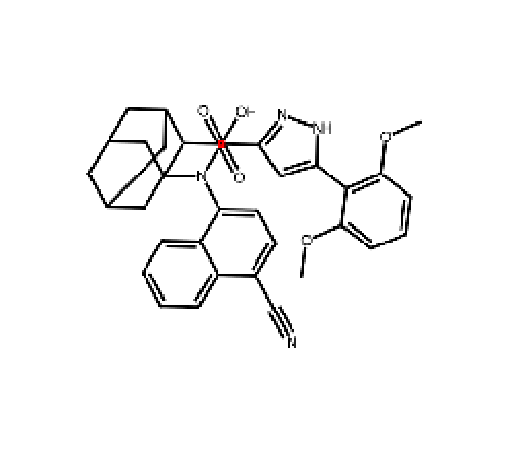 COc1cccc(OC)c1-c1cc(C(=O)N(c2ccc(C#N)c3ccccc23)C23CC4CC(CC(C4)C2C(=O)O)C3)n[nH]1